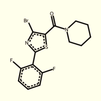 O=C(c1sc(-c2c(F)cccc2F)nc1Br)N1CCCCC1